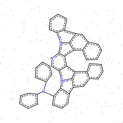 c1ccc(N(c2ccccc2)c2cccc3c4cc5ccccc5c5c6c7c8c9ccccc9cc9c%10ccccc%10n(c7ncc6n(c23)c45)c98)cc1